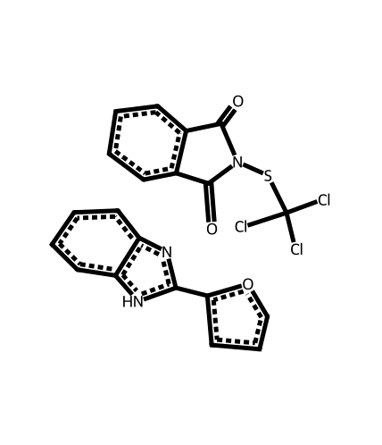 O=C1c2ccccc2C(=O)N1SC(Cl)(Cl)Cl.c1coc(-c2nc3ccccc3[nH]2)c1